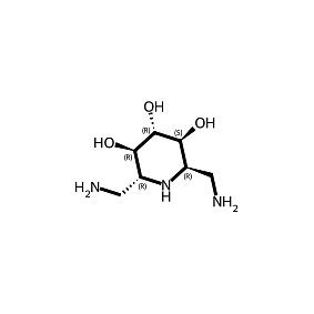 NC[C@H]1N[C@H](CN)[C@@H](O)[C@H](O)[C@H]1O